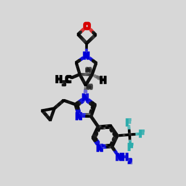 CC12CN(C3COC3)C[C@H]1[C@@H]2n1cc(-c2cnc(N)c(C(F)(F)F)c2)nc1CC1CC1